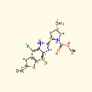 CO[C@H]1C[C@H](c2nc3c(F)c4c(c(F)c3[nH]2)CC(C=O)C4)N(C(=O)OC(C)(C)C)C1